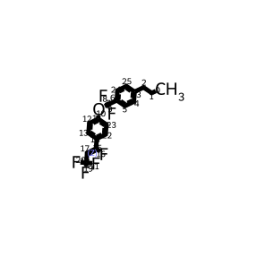 CCCc1ccc(C(F)(F)Oc2ccc(/C(F)=C/C(F)(F)F)cc2)cc1